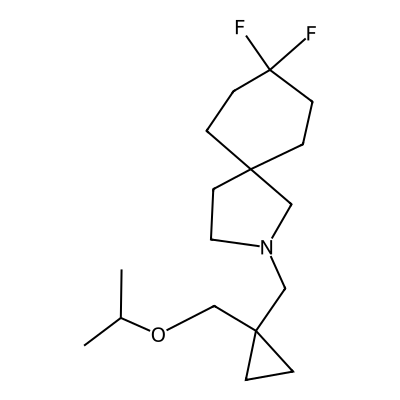 CC(C)OCC1(CN2CCC3(CCC(F)(F)CC3)C2)CC1